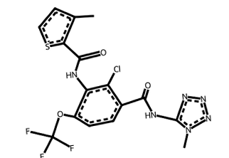 Cc1ccsc1C(=O)Nc1c(OC(F)(F)F)ccc(C(=O)Nc2nnnn2C)c1Cl